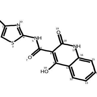 Cc1csc(NC(=O)c2c(O)c3ccccc3[nH]c2=O)n1